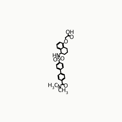 CN(C)C(=O)c1ccc(-c2ccc(S(=O)(=O)NC3CCCc4c(OCC(=O)O)cccc43)cc2)cc1